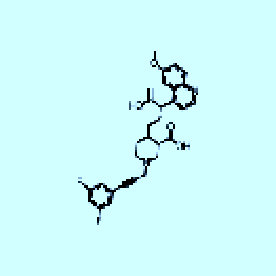 COc1ccc2nccc([C@H](CC[C@@H]3CCN(CC#Cc4cc(F)cc(F)c4)C[C@@H]3C(=O)O)NO)c2c1